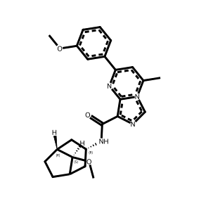 COc1cccc(-c2cc(C)n3cnc(C(=O)N[C@@H]4CC5CC[C@H](C4)[C@H]5OC)c3n2)c1